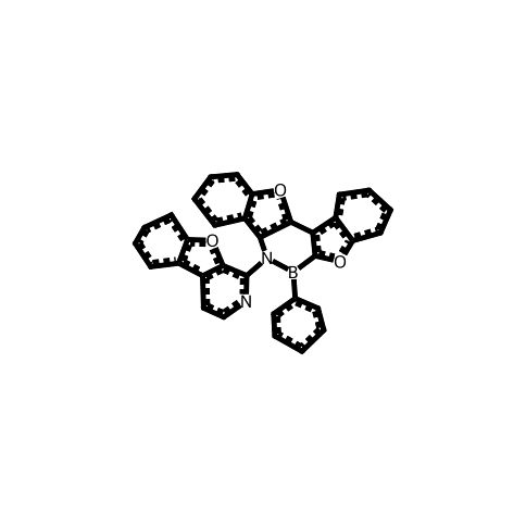 c1ccc(B2c3oc4ccccc4c3-c3oc4ccccc4c3N2c2nccc3c2oc2ccccc23)cc1